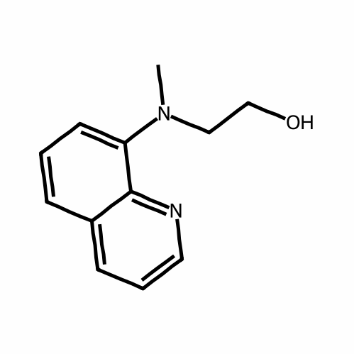 CN(CCO)c1cccc2cccnc12